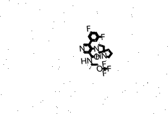 C[C@@H](COC(F)(F)F)NC(=O)c1cncc(-c2cc(F)cc(F)c2)c1N1CCC2(CCCN2)C1